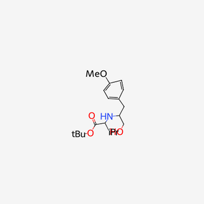 COc1ccc(CC(CO)NC(C(=O)OC(C)(C)C)C(C)C)cc1